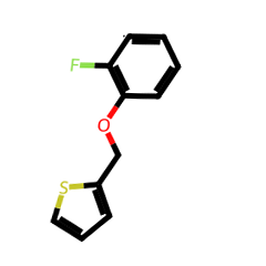 Fc1[c]cccc1OCc1cccs1